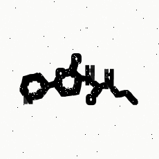 CCCNC(=O)Nc1ccc(-c2cccnc2)oc1=O